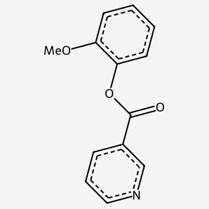 COc1ccccc1OC(=O)c1cccnc1